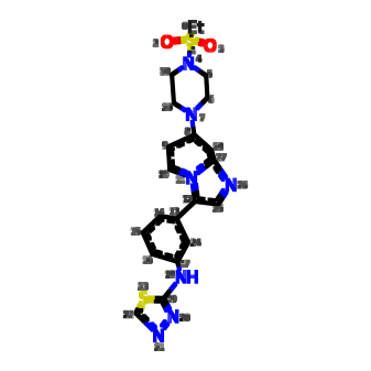 CCS(=O)(=O)N1CCN(c2ccn3c(-c4cccc(Nc5nncs5)c4)cnc3c2)CC1